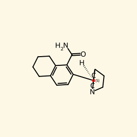 NC(=O)c1c([C@H]2CN3CCC2CC3)ccc2c1CCCC2